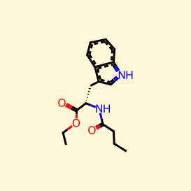 CCCC(=O)N[C@@H](Cc1c[nH]c2ccccc12)C(=O)OCC